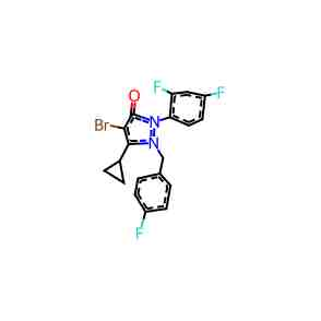 O=c1c(Br)c(C2CC2)n(Cc2ccc(F)cc2)n1-c1ccc(F)cc1F